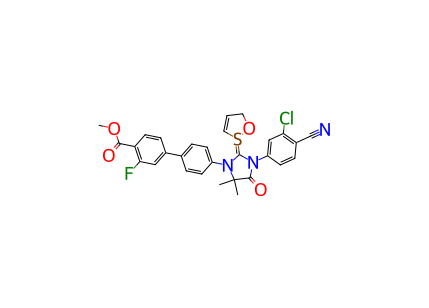 COC(=O)c1ccc(-c2ccc(N3C(=S4C=CCO4)N(c4ccc(C#N)c(Cl)c4)C(=O)C3(C)C)cc2)cc1F